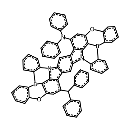 c1ccc(C(c2ccccc2)c2cc3c4c5c2c2cc6c(cc2n5-c2ccccc2B4c2ccccc2O3)c2c(N(c3ccccc3)c3ccccc3)cc3c4c2n6-c2ccccc2B4c2ccccc2O3)cc1